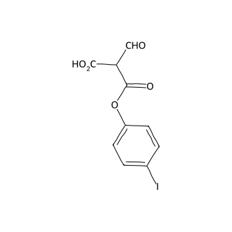 O=CC(C(=O)O)C(=O)Oc1ccc(I)cc1